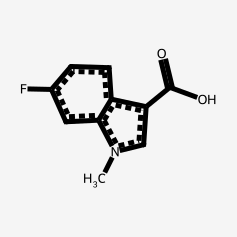 Cn1cc(C(=O)O)c2ccc(F)cc21